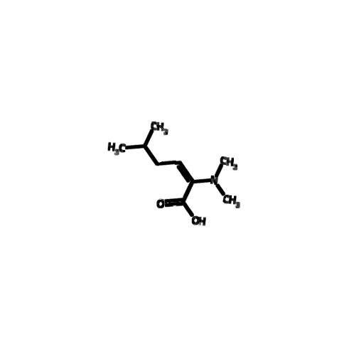 CC(C)C/C=C(\C(=O)O)N(C)C